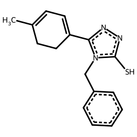 CC1=CC=C(c2nnc(S)n2Cc2ccccc2)CC1